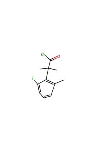 Cc1cccc(F)c1C(C)(C)C(=O)Cl